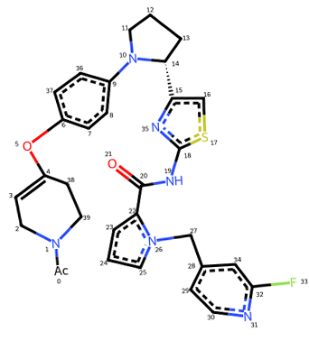 CC(=O)N1CC=C(Oc2ccc(N3CCC[C@@H]3c3csc(NC(=O)c4cccn4Cc4ccnc(F)c4)n3)cc2)CC1